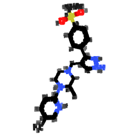 CC(=O)NS(=O)(=O)c1ccc(-c2n[nH]cc2CN2CCN(c3ccc(C(F)(F)F)cn3)C(C)C2)cc1